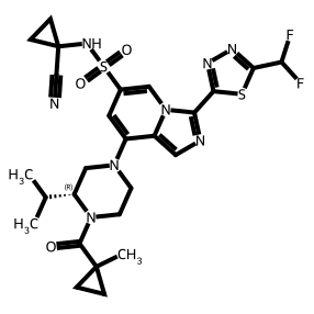 CC(C)[C@@H]1CN(c2cc(S(=O)(=O)NC3(C#N)CC3)cn3c(-c4nnc(C(F)F)s4)ncc23)CCN1C(=O)C1(C)CC1